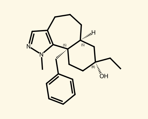 CC[C@@]1(O)CC[C@@]2(Cc3ccccc3)c3c(cnn3C)CCC[C@H]2C1